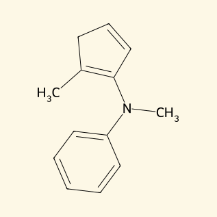 CC1=C(N(C)c2ccccc2)C=CC1